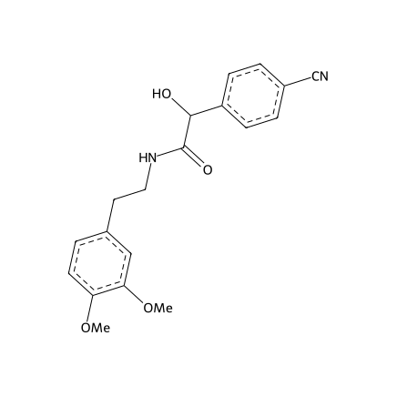 COc1ccc(CCNC(=O)C(O)c2ccc(C#N)cc2)cc1OC